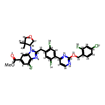 COC(=O)c1cc(F)c2nc(Cc3cc(F)c(-c4ccnc(OCc5ccc(Cl)cc5F)n4)cc3F)n([C@@H]3COCC3(C)C)c2c1